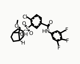 COC[C@]1(O)C2CC[C@@H]1C[C@@H](S(=O)(=O)c1cc(C(=O)Nc3cc(F)c(F)c(F)c3)ccc1Cl)C2